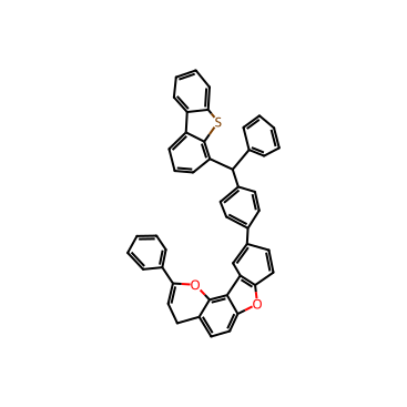 C1=C(c2ccccc2)Oc2c(ccc3oc4ccc(-c5ccc(C(c6ccccc6)c6cccc7c6sc6ccccc67)cc5)cc4c23)C1